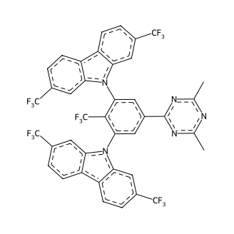 Cc1nc(C)nc(-c2cc(-n3c4cc(C(F)(F)F)ccc4c4ccc(C(F)(F)F)cc43)c(C(F)(F)F)c(-n3c4cc(C(F)(F)F)ccc4c4ccc(C(F)(F)F)cc43)c2)n1